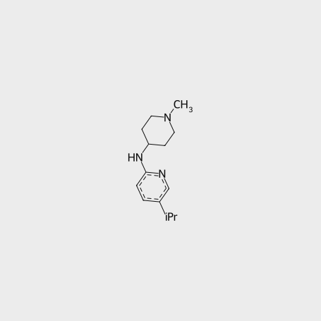 CC(C)c1ccc(NC2CCN(C)CC2)nc1